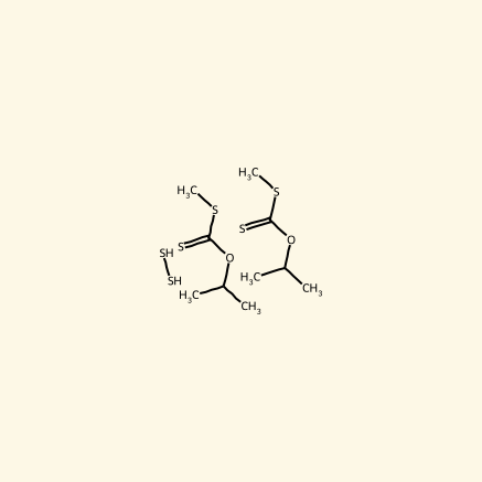 CSC(=S)OC(C)C.CSC(=S)OC(C)C.SS